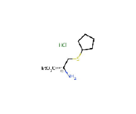 CCOC(=O)[C@@H](N)CSC1CCCC1.Cl